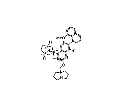 COc1cccc2cccc(-c3ncc4c(N5C[C@H]6CC[C@@H](C5)N6C(=O)OC(C)(C)C)nc(OCC56CCCN5CCC6)nc4c3F)c12